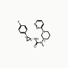 CN(C(=O)N[C@@H]1C[C@H]1c1ccc(F)cc1)[C@@H]1CCCN(c2cccnn2)C1